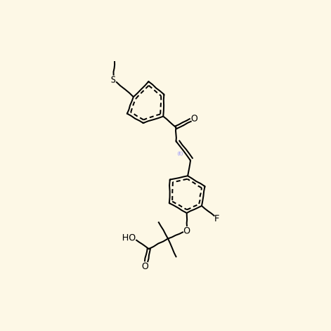 CSc1ccc(C(=O)/C=C/c2ccc(OC(C)(C)C(=O)O)c(F)c2)cc1